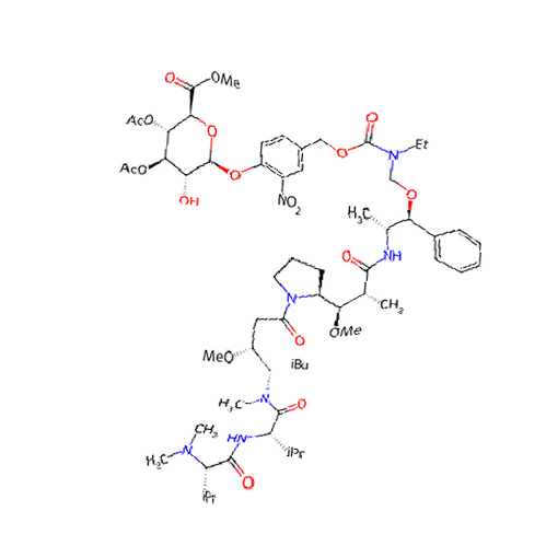 CC[C@H](C)[C@@H]([C@@H](CC(=O)N1CCC[C@H]1[C@H](OC)[C@@H](C)C(=O)N[C@H](C)[C@@H](OCN(CC)C(=O)OCc1ccc(O[C@@H]2O[C@H](C(=O)OC)[C@@H](OC(C)=O)[C@H](OC(C)=O)[C@H]2O)c([N+](=O)[O-])c1)c1ccccc1)OC)N(C)C(=O)[C@@H](NC(=O)[C@H](C(C)C)N(C)C)C(C)C